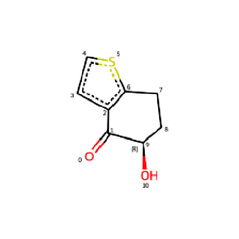 O=C1c2ccsc2CC[C@H]1O